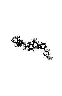 CC(C)N1CCN(c2cccc(C3CC(C)(C)c4cc(C(=O)NCCN5CCSCC5(O)O)ccc4N3)c2)CC1